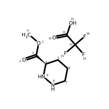 COC(=O)[C@H]1CCCNN1.O=C(O)C(F)(F)F